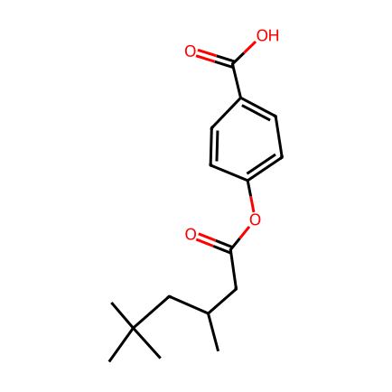 CC(CC(=O)Oc1ccc(C(=O)O)cc1)CC(C)(C)C